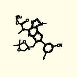 CN(C(=O)OC(C)(C)C)c1nc2c(cc(-c3cc(F)cc(C#N)c3)n2C[C@H]2COC(C)(C)O2)c2c1ncn2C